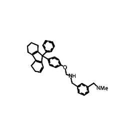 CNCc1cccc(CNCOc2ccc(C3(c4ccccc4)C4=C(CCC=C4)C4=C3CCCC4)cc2)c1